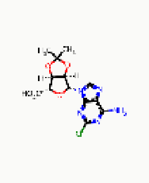 CC1(C)O[C@@H]2[C@H](O1)[C@@H](C(=O)O)O[C@H]2n1cnc2c(N)nc(Cl)nc21